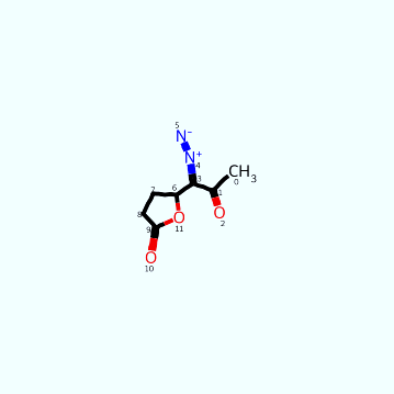 CC(=O)C(=[N+]=[N-])C1CCC(=O)O1